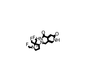 O=C1NN([C@@H]2CCN(CF)C2(CF)CF)Cc2c[nH]c(=O)cc21